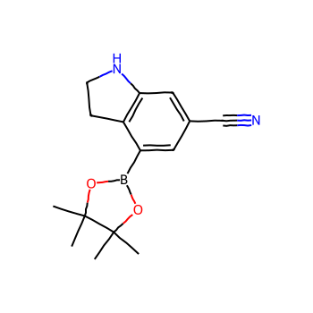 CC1(C)OB(c2cc(C#N)cc3c2CCN3)OC1(C)C